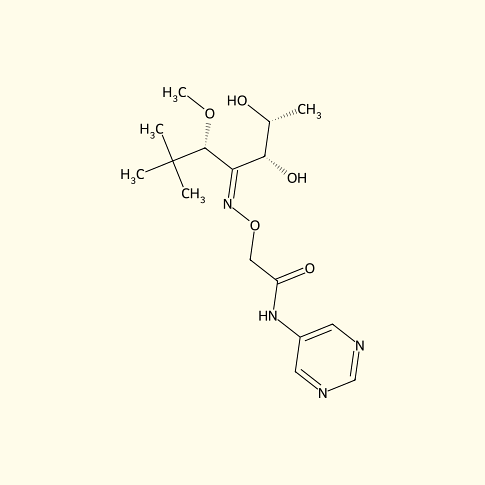 CO[C@H](/C(=N/OCC(=O)Nc1cncnc1)[C@@H](O)[C@@H](C)O)C(C)(C)C